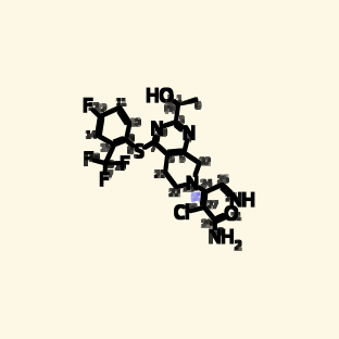 C[C@H](O)c1nc2c(c(Sc3ccc(F)cc3C(F)(F)F)n1)CCN(/C(C=N)=C(\Cl)C(N)=O)C2